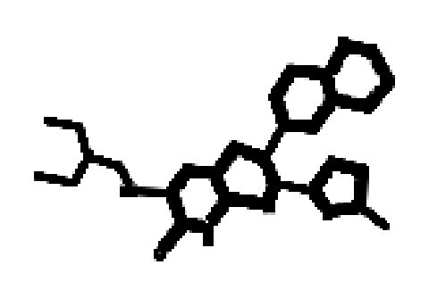 CCN(CC)CNc1cc2cc(-c3ccc4ncccc4c3)c(-c3ccc(C)s3)nc2[nH]c1=O